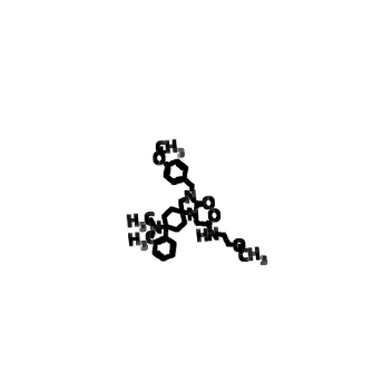 COCCNC(=O)CN1C(=O)N(Cc2ccc(OC)cc2)CC12CCC(c1ccccc1)(N(C)C)CC2